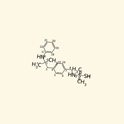 CC(C)(Cc1ccc(CNS(C)(C)S)cc1)Nc1ccccc1